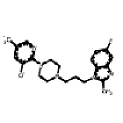 Cc1nc2cc(F)ccc2n1CCCN1CCN(c2ncc(C(F)(F)F)cc2Cl)CC1